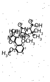 COc1cccc(OC)c1-c1onc(C)c1N[C@@]1(C)C(=O)N2[C@@H](C(=O)O)C(C)(C)S[C@@H]21